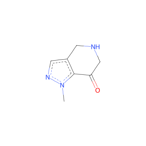 Cn1ncc2c1C(=O)CNC2